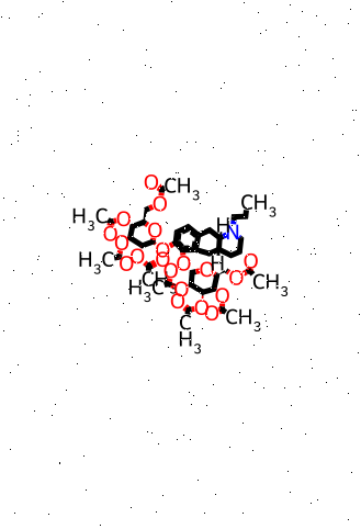 CCCN1CCC[C@@H]2Cc3c(ccc(O[C@@H]4O[C@H](COC(C)=O)[C@@H](OC(C)=O)[C@H](OC(C)=O)[C@H]4OC(C)=O)c3O[C@@H]3O[C@H](COC(C)=O)[C@@H](OC(C)=O)[C@H](OC(C)=O)[C@H]3OC(C)=O)C[C@H]21